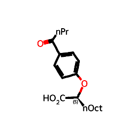 CCCCCCCC[C@H](Oc1ccc(C(=O)CCC)cc1)C(=O)O